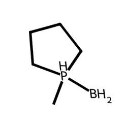 B[PH]1(C)CCCC1